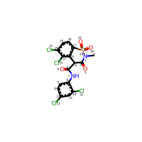 CN1C(=O)C(C(=O)Nc2ccc(Cl)cc2Cl)c2c(ccc(Cl)c2Cl)S1(=O)=O